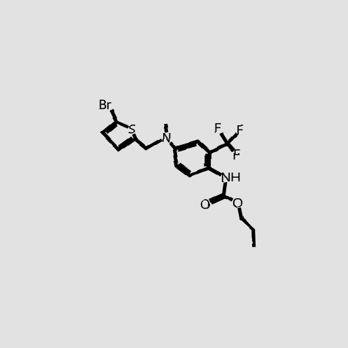 CCCOC(=O)Nc1ccc(N(C)Cc2ccc(Br)s2)cc1C(F)(F)F